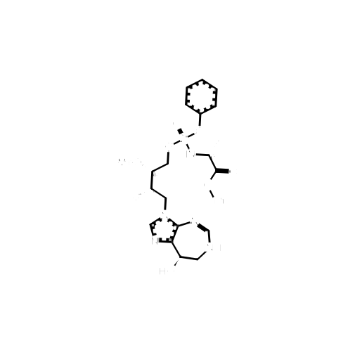 CO[C@H](COP(=O)(N[C@H](C)C(=O)OC(C)C)Oc1ccccc1)[C@@H](O)Cn1cnc2c1N=CNC[C@H]2O